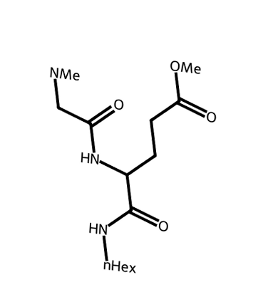 CCCCCCNC(=O)C(CCC(=O)OC)NC(=O)CNC